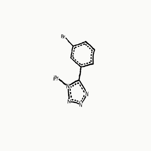 CC(C)n1nnnc1-c1cccc(Br)c1